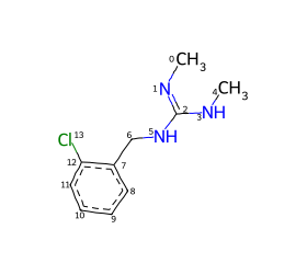 CN=C(NC)NCc1ccccc1Cl